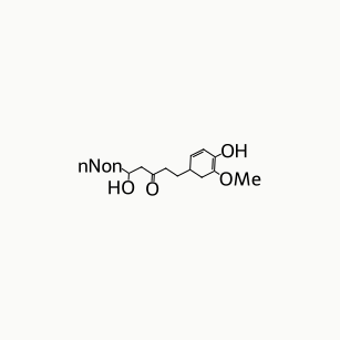 CCCCCCCCCC(O)CC(=O)CCC1C=CC(O)=C(OC)C1